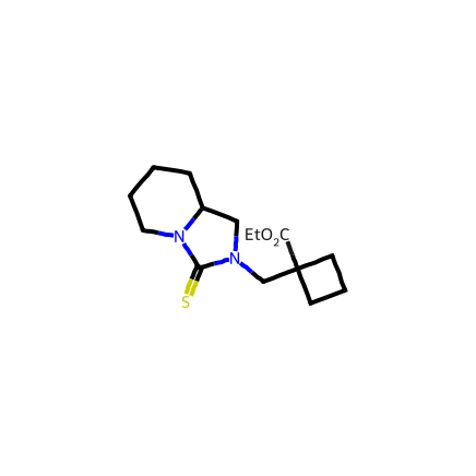 CCOC(=O)C1(CN2CC3CCCCN3C2=S)CCC1